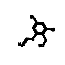 C=CSc1cc(Br)cc(Cl)c1CO